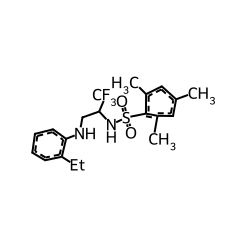 CCc1ccccc1NCC(NS(=O)(=O)c1c(C)cc(C)cc1C)C(F)(F)F